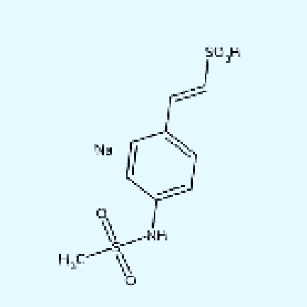 CS(=O)(=O)Nc1ccc(C=CS(=O)(=O)O)cc1.[Na]